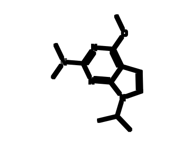 COc1nc(N(C)C)nc2c1ccn2C(C)C